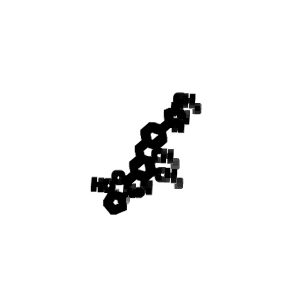 Cc1c(Cc2ccc(-c3cn(C)nn3)cc2)cc2c(=O)n([C@@H]3CCC[C@H]3O)cnc2c1C